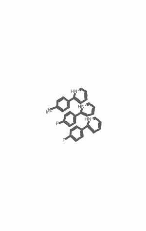 Fc1ccc(-c2cccc[nH+]2)cc1.Fc1ccc(-c2cccc[nH+]2)cc1.Fc1ccc(-c2cccc[nH+]2)cc1.[Ir+3]